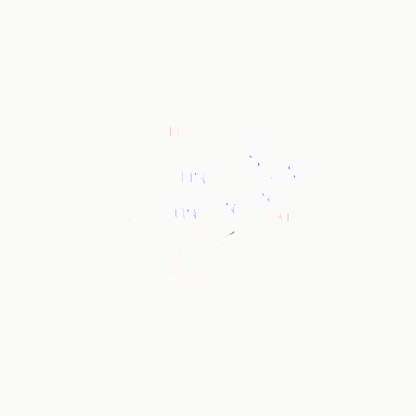 N=C1NC2C(CO)NC(=N)N(C[C@@H](CO)OC(=O)c3ccccc3F)C2(CO)N1